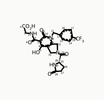 O=C(O)CNC(=O)c1c(O)c2c(n(Cc3ccc(C(F)(F)F)cc3)c1=O)CN(C(=O)[C@H]1CCC(=O)N1)C2